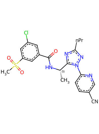 CCCc1nc([C@H](C)NC(=O)c2cc(Cl)cc(S(C)(=O)=O)c2)n(-c2ccc(C#N)cn2)n1